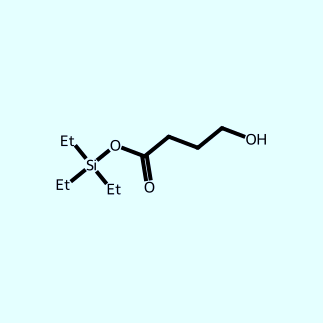 CC[Si](CC)(CC)OC(=O)CCCO